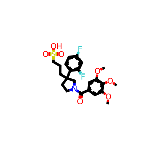 COc1cc(C(=O)N2CCC(CCCS(=O)(=O)O)(c3ccc(F)cc3F)C2)cc(OC)c1OC